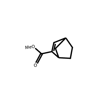 [CH2]OC(=O)C1=CC2CCC1C2